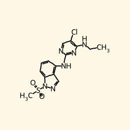 CCNc1nc(Nc2cccc3c2cnn3S(C)(=O)=O)ncc1Cl